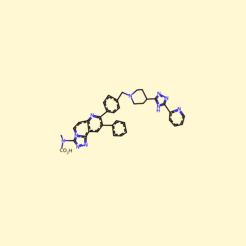 CN(C(=O)O)c1nnc2c3cc(-c4ccccc4)c(-c4ccc(CN5CCC(c6nnc(-c7ccccn7)[nH]6)CC5)cc4)nc3ccn12